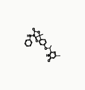 Cc1cc(=O)[nH]c(C(C)Oc2ccc(C3(C)OC(=O)N(Nc4ccccc4)C3=O)cc2)n1